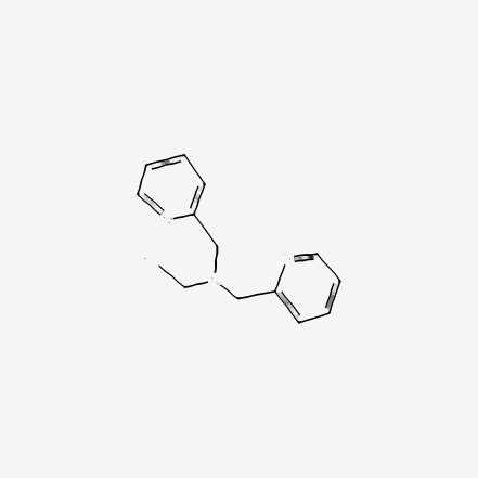 CC(=O)CN(Cc1ccccn1)Cc1ccccn1